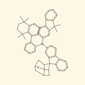 CC1(C)CCC(C)(C)c2c(-c3ccccc3N(c3ccc4c(c3)C(C)(C)c3ccccc3-4)c3ccc4c(c3)C3(c5ccccc5-4)C4CC5CC6CC3C64C5)cccc21